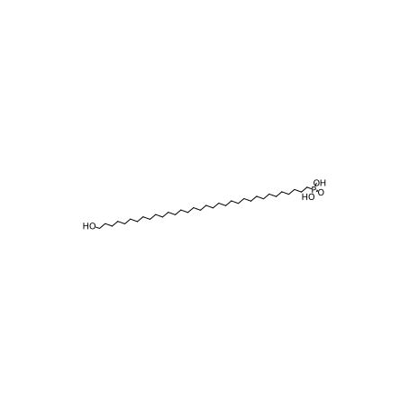 O=P(O)(O)CCCCCCCCCCCCCCCCCCCCCCCCCCCCCCCCCCO